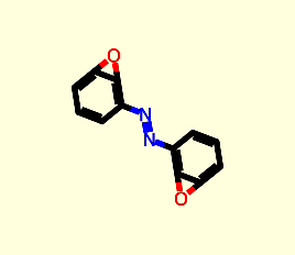 c1cc(N=Nc2cccc3c2O3)c2c(c1)O2